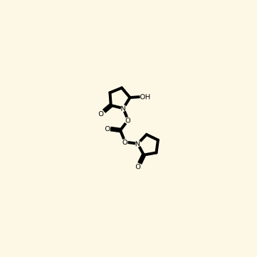 O=C(ON1CCCC1=O)ON1C(=O)CCC1O